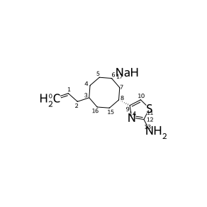 C=CCC1CCCC[C@H](c2csc(N)n2)CC1.[NaH]